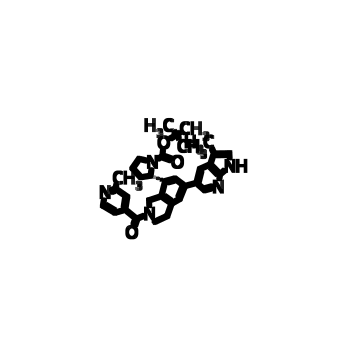 Cc1cc(C(=O)N2CCc3cc(-c4cnc5[nH]cc(C)c5c4)cc([C@@H]4CCCN4C(=O)OC(C)(C)C)c3C2)ccn1